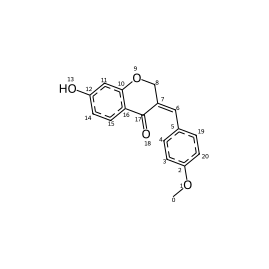 COc1ccc(/C=C2/COc3cc(O)ccc3C2=O)cc1